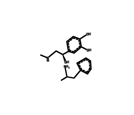 CC(N)Cc1ccccc1.CNC[C@H](O)c1ccc(O)c(O)c1